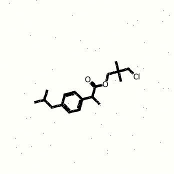 CC(C)Cc1ccc(C(C)C(=O)OCC(C)(C)CCl)cc1